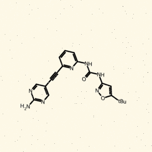 CC(C)(C)c1cc(NC(=O)Nc2cccc(C#Cc3cnc(N)nc3)n2)no1